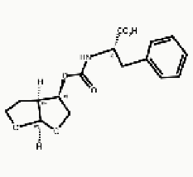 O=C(N[C@@H](Cc1ccccc1)C(=O)O)O[C@H]1CO[C@H]2OCC[C@H]21